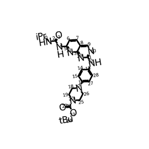 CC(C)NC(=O)Nc1ccc2cnc(Nc3ccc(N4CCN(C(=O)OC(C)(C)C)CC4)cc3)nc2n1